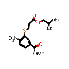 CCCCC(CC)COC(=O)CCSc1cc(C(=O)OC)ccc1[N+](=O)[O-]